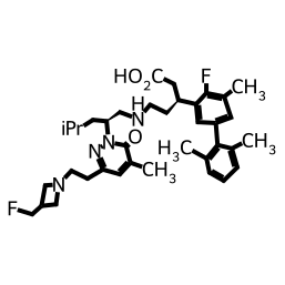 Cc1cc(-c2c(C)cccc2C)cc([C@@H](CCNC[C@H](CC(C)C)n2nc(CCN3CC(CF)C3)cc(C)c2=O)CC(=O)O)c1F